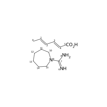 CC=CC=CC(=O)O.N=C(N)N1CCCCCC1